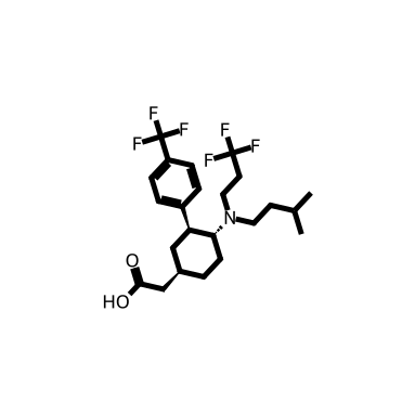 CC(C)CCN(CCC(F)(F)F)[C@@H]1CC[C@@H](CC(=O)O)C[C@H]1c1ccc(C(F)(F)F)cc1